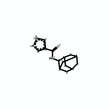 O=C(NC1C2CC3CC(C2)CC1C3)c1cn[nH]c1